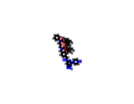 CC(C)(C)OC(=O)N(CCCN(C(=O)OC(C)(C)C)C1CCCCC1)CC1CCC(CNc2cc(N)nc(N3CCNCC3)n2)CC1